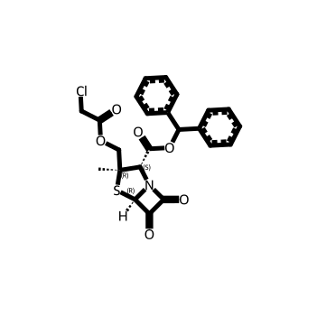 C[C@@]1(COC(=O)CCl)S[C@@H]2C(=O)C(=O)N2[C@H]1C(=O)OC(c1ccccc1)c1ccccc1